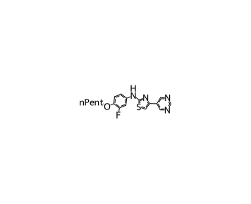 CCCCCOc1ccc(Nc2nc(-c3cncnc3)cs2)cc1F